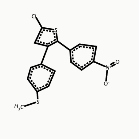 CSc1ccc(-c2cc(Cl)sc2-c2ccc([N+](=O)[O-])cc2)cc1